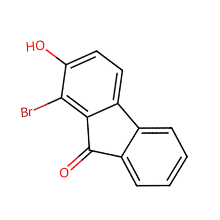 O=C1c2ccccc2-c2ccc(O)c(Br)c21